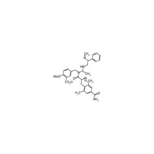 C=NC(CNC(C)N(Cc1ccc(OC)c(C(=O)O)c1)C(=O)[C@@H](N)Cc1c(C)cc(C(N)=O)cc1C)c1ccccc1